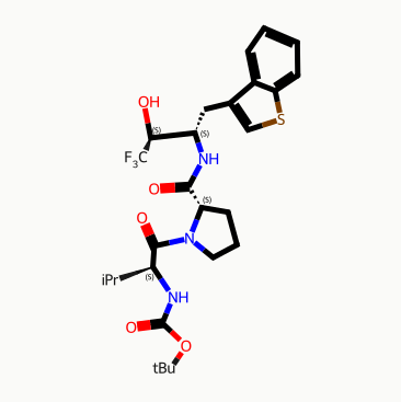 CC(C)[C@H](NC(=O)OC(C)(C)C)C(=O)N1CCC[C@H]1C(=O)N[C@@H](Cc1csc2ccccc12)[C@H](O)C(F)(F)F